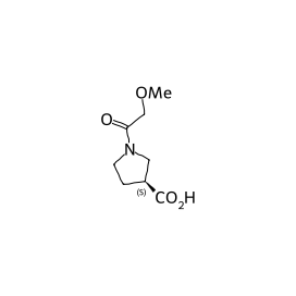 COCC(=O)N1CC[C@H](C(=O)O)C1